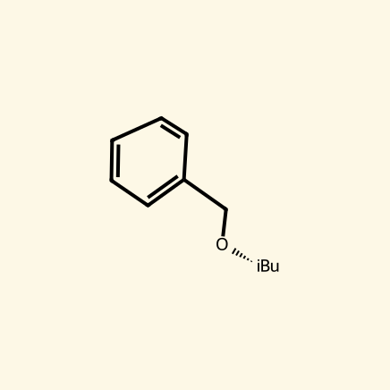 CC[C@@H](C)OCc1ccccc1